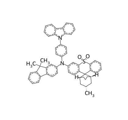 C[C@@H]1C[C@H]2CCC[C@@H](C1)C21c2ccccc2S(=O)(=O)c2cc(N(c3ccc(-n4c5ccccc5c5ccccc54)cc3)c3ccc4c(c3)C(C)(C)c3ccccc3-4)ccc21